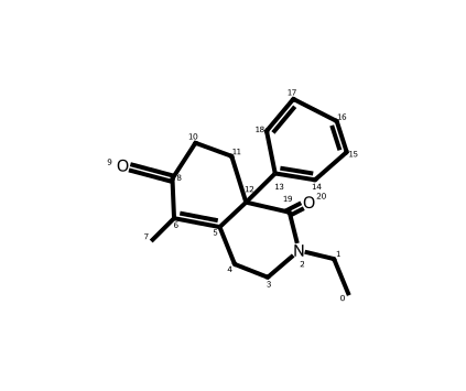 CCN1CCC2=C(C)C(=O)CCC2(c2ccccc2)C1=O